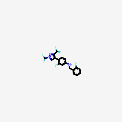 Fc1ccccc1CNc1ccc(-c2cn(C(F)F)nc2C(F)F)c(F)c1